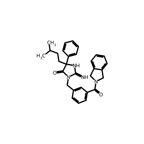 CC(C)CCC1(c2ccccc2)NC(=N)N(Cc2cccc(C(=O)N3Cc4ccccc4C3)c2)C1=O